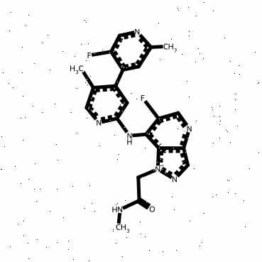 CNC(=O)Cn1ncc2ncc(F)c(Nc3cc(-c4cc(C)ncc4F)c(C)cn3)c21